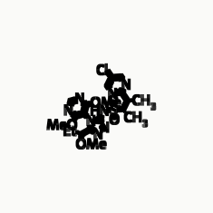 CC[C@H](OC)c1nnc(NS(=O)(=O)[C@@H](C)[C@H](C)c2ncc(Cl)cn2)n1-c1c(OC)ncnc1OC